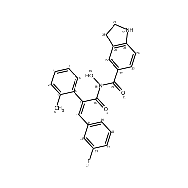 Cc1ccccc1C(=Cc1cccc(F)c1)C(=O)N(O)C(=O)c1ccc2c(c1)CCN2